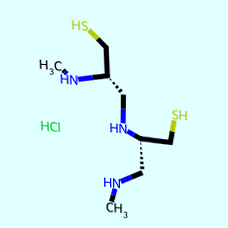 CNC[C@@H](CS)NC[C@@H](CS)NC.Cl